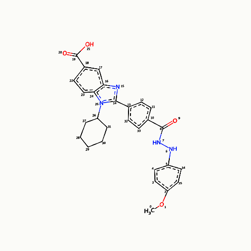 COc1ccc(NNC(=O)c2ccc(-c3nc4cc(C(=O)O)ccc4n3C3CCCCC3)cc2)cc1